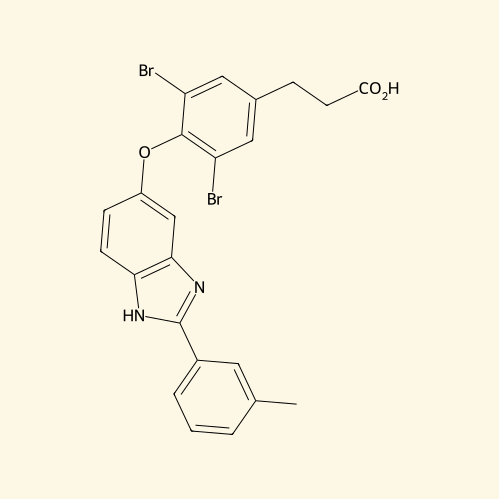 Cc1cccc(-c2nc3cc(Oc4c(Br)cc(CCC(=O)O)cc4Br)ccc3[nH]2)c1